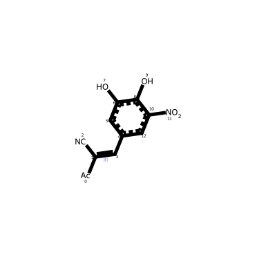 CC(=O)/C(C#N)=C/c1cc(O)c(O)c([N+](=O)[O-])c1